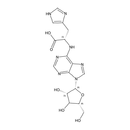 O=C(O)[C@H](Cc1c[nH]cn1)Nc1ncnc2c1ncn2[C@@H]1O[C@H](CO)C(O)[C@@H]1O